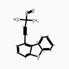 CC(C)(C#Cc1cccc2oc3ccccc3c12)N=O